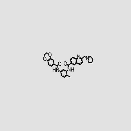 Cc1ccc(NC(=O)c2ccc3c(c2)OCCO3)cc1NC(=O)c1ccc2nc(CN3CCCC3)ccc2c1